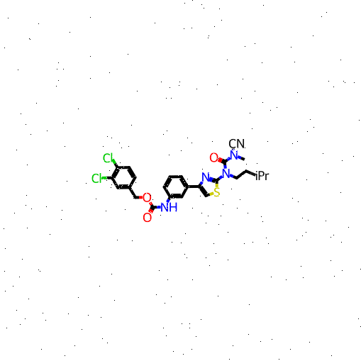 CC(C)CCN(C(=O)N(C)C#N)c1nc(-c2cccc(NC(=O)OCc3ccc(Cl)c(Cl)c3)c2)cs1